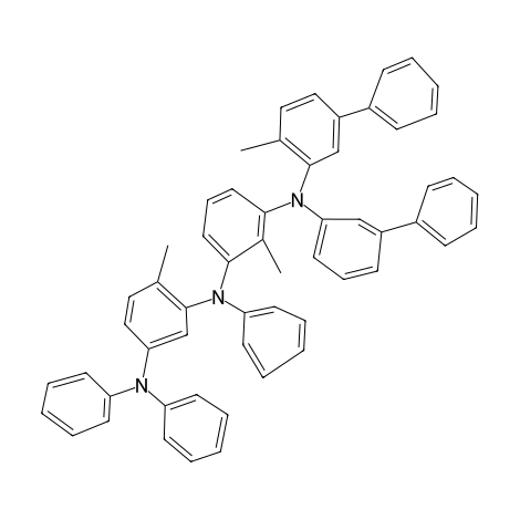 Cc1ccc(-c2ccccc2)cc1N(c1cccc(-c2ccccc2)c1)c1cccc(N(c2ccccc2)c2cc(N(c3ccccc3)c3ccccc3)ccc2C)c1C